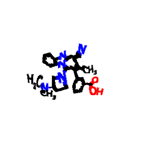 Cc1c(-c2cccc(C(=O)O)c2)c(N2CC[C@H](N(C)C)C2)n2c(nc3ccccc32)c1C#N